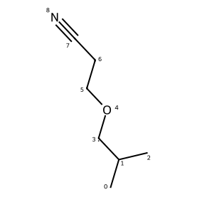 CC(C)[CH]OCCC#N